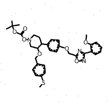 COc1ccccc1-c1noc(COc2ccc(C3CCN(OC(=O)OC(C)(C)C)CC3OCc3ccc(SC)cc3)cc2)n1